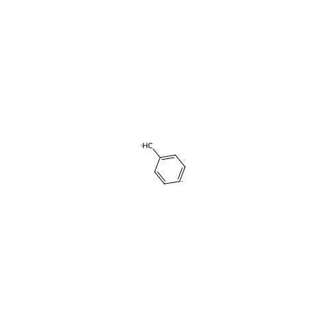 [CH]c1cc[c]cc1